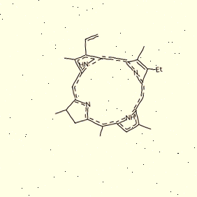 C=Cc1c(C)c2cc3nc(c(C)c4cc(C)c(cc5nc(cc1[nH]2)C(C)=C5CC)[nH]4)CC3C